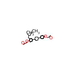 CCCCC(CC)Cc1cc(C2=CCC(c3ccc(OCC4CO4)cc3)CC2)ccc1OCC1CO1